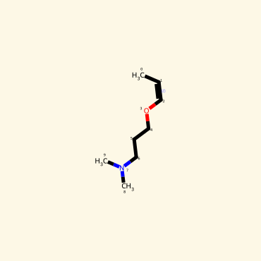 C/C=C\OCCCN(C)C